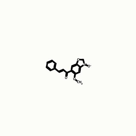 COc1cc2c(cc1C(=O)/C=C/c1ccccc1)OC[S+]2[O-]